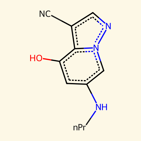 CCCNc1cc(O)c2c(C#N)cnn2c1